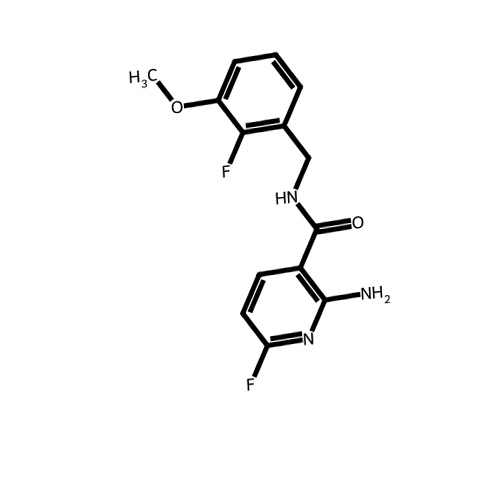 COc1cccc(CNC(=O)c2ccc(F)nc2N)c1F